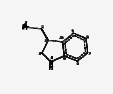 [CH2]C(C)CC1CNc2ccccc21